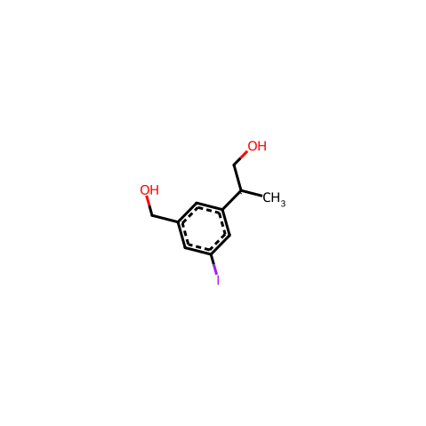 C[C](CO)c1cc(I)cc(CO)c1